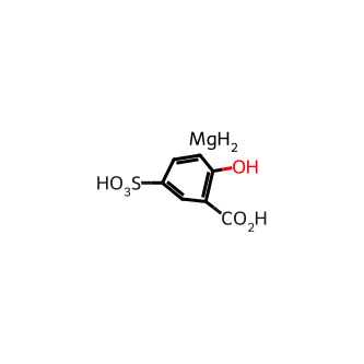 O=C(O)c1cc(S(=O)(=O)O)ccc1O.[MgH2]